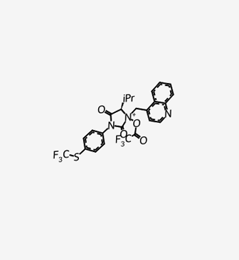 CC(C)[C@@H]1C(=O)N(c2ccc(SC(F)(F)F)cc2)C(=O)[N+]1(Cc1ccnc2ccccc12)OC(=O)C(F)(F)F